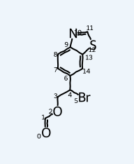 O=COCC(Br)c1ccc2ncsc2c1